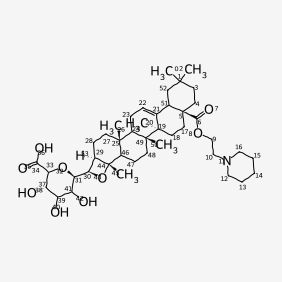 CC1(C)CC[C@]2(C(=O)OCCN3CCCCC3)CC[C@]3(C)C(=CCC4[C@@]5(C)CC[C@@H]6[C@H]([C@@H]7OC(C(=O)O)[C@@H](O)C(O)C7O)O[C@@]6(C)C5CC[C@]43C)C2C1